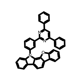 c1ccc(-c2cc(-c3ccccc3)nc(-c3cccc(-n4c5ccccc5c5ccc6c7ccccc7oc6c54)c3)n2)cc1